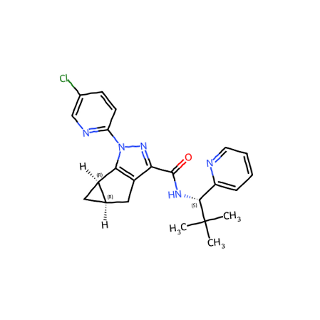 CC(C)(C)[C@H](NC(=O)c1nn(-c2ccc(Cl)cn2)c2c1C[C@H]1C[C@@H]21)c1ccccn1